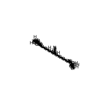 CC(=O)N[C@H]1[C@H]2OC[C@@](Cn3cc(COCCCOCCCOCCCOCC(COCCCOCCCOCCCOCc4cn(C[C@]56CO[C@@H](O5)[C@H](NC(C)=O)[C@@H](O)[C@H]6O)nn4)NC(=O)CCCN)nn3)(O2)[C@H](O)[C@@H]1O